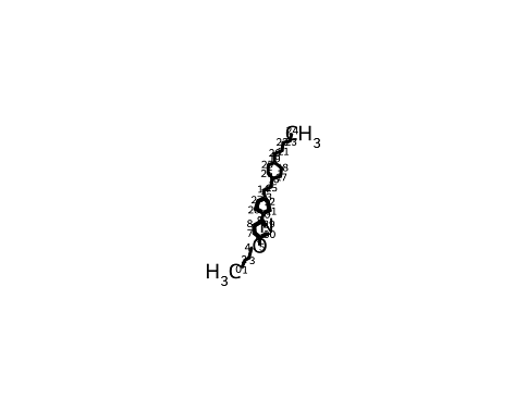 CCCCCOc1ccc(-c2ccc(CCC3CCC(CCCCC)CC3)cc2)nc1